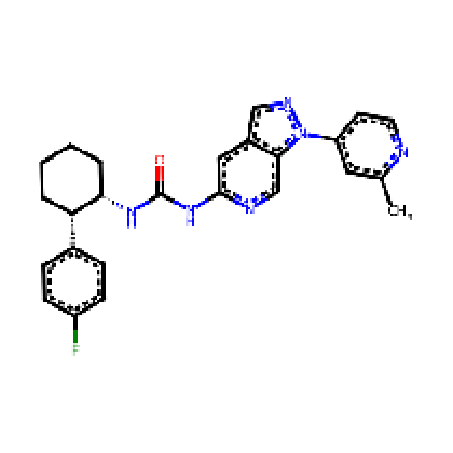 Cc1cc(-n2ncc3cc(NC(=O)N[C@H]4CCCC[C@H]4c4ccc(F)cc4)ncc32)ccn1